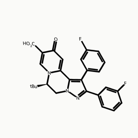 CC(C)(C)[C@@H]1Cn2nc(-c3cccc(F)c3)c(-c3cccc(F)c3)c2-c2cc(=O)c(C(=O)O)cn21